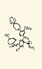 COc1cc(Nc2nc(N[C@H]3CC[C@H](O)CC3)c(Cl)nc2C(N)=O)ccc1N1CCC2(CC1)OCCO2